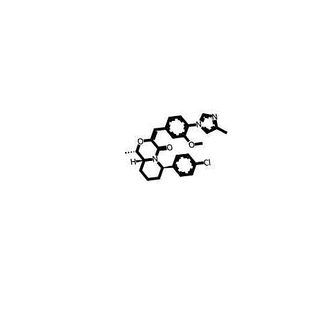 COc1cc(C=C2O[C@@H](C)[C@H]3CCC[C@H](c4ccc(Cl)cc4)N3C2=O)ccc1-n1cnc(C)c1